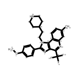 COc1ccc(-c2nc3c(C(F)(F)F)nc4cc(C)ccc4c3n2CCC2CCNCC2)cc1